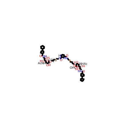 CC(=O)N[C@H]1[C@H]([C@H](O)[C@H](O)CNC(=O)c2ccc(-c3ccccc3)cc2)O[C@](C=O)(OCCCCSCCNC(=O)c2cccc(C(=O)NCCSCCCO[C@]3(C(=O)O)C[C@H](O)[C@@H](NC(C)=O)[C@H]([C@H](O)[C@H](O)CNC(=O)c4ccc(-c5ccccc5)cc4)O3)c2)C[C@@H]1O